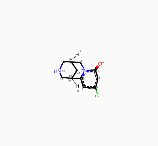 O=c1cc(Cl)cc2n1C[C@@H]1CNC[C@H]2C1